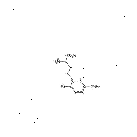 CC(=O)Nc1ccc(O)c(SCC(N)C(=O)O)c1